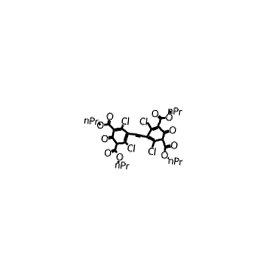 CCCOC(=O)C1=C(Cl)C(C=CC2=C(Cl)C(C(=O)OCCC)C(=O)C(C(=O)OCCC)=C2Cl)=C(Cl)C(C(=O)OCCC)C1=O